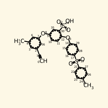 C#Cc1cc(C)cc(Oc2ccc(Oc3ccc(S(=O)(=O)c4ccc(C)cc4)cc3)c(S(=O)(=O)O)c2)c1